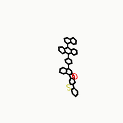 c1ccc2c(-c3c4ccccc4c(-c4ccc(-c5cc6oc7cc8c(cc7c6c6ccccc56)sc5ccccc58)cc4)c4ccccc34)cccc2c1